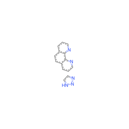 c1c[nH]nn1.c1cnc2c(c1)ccc1cccnc12